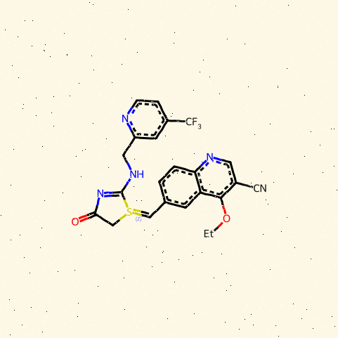 CCOc1c(C#N)cnc2ccc(/C=S3/CC(=O)N=C3NCc3cc(C(F)(F)F)ccn3)cc12